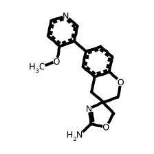 COc1ccncc1-c1ccc2c(c1)CC1(COC(N)=N1)CO2